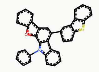 c1ccc(-n2c3ccccc3c3c(-c4ccc5sc6ccccc6c5c4)cc4c5ccccc5oc4c32)cc1